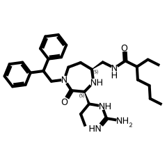 CCCCC(CC)C(=O)NC[C@@H]1CCN(CC(c2ccccc2)c2ccccc2)C(=O)[C@H](C(CC)NC(=N)N)N1